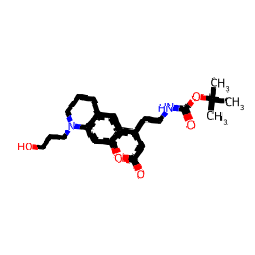 CC(C)(C)OC(=O)NCCc1cc(=O)oc2cc3c(cc12)CCCN3CCCO